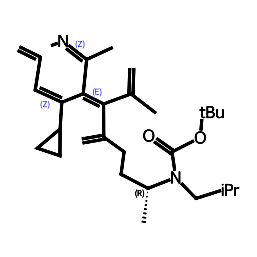 C=C\C=C(C(/C(C)=N\C)=C(/C(=C)C)C(=C)CC[C@@H](C)N(CC(C)C)C(=O)OC(C)(C)C)\C1CC1